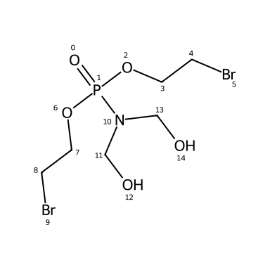 O=P(OCCBr)(OCCBr)N(CO)CO